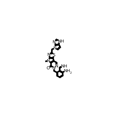 Cn1c2nc(Cn3ccc4[nH]cnc43)sc2c2cnn(Cc3cccc(N)c3C=N)c(=O)c21